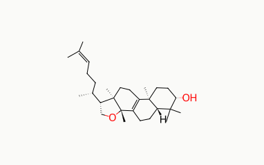 CC(C)=CCC[C@@H](C)[C@H]1CO[C@@]2(C)C3=C(CC[C@]12C)[C@@]1(C)CC[C@H](O)C(C)(C)[C@@H]1CC3